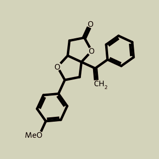 C=C(c1ccccc1)C12CC(c3ccc(OC)cc3)OC1CC(=O)O2